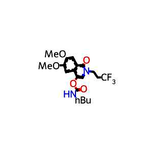 CCCCNC(=O)Oc1cn(CCC(F)(F)F)c(=O)c2cc(OC)c(OC)cc12